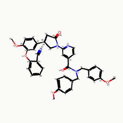 COc1ccc(CN(Cc2ccc(OC)cc2)C(=O)c2ccnc(N3C[C@@H](c4ccc(OC)c(Oc5ccccc5C#N)c4)CC3=O)c2)cc1